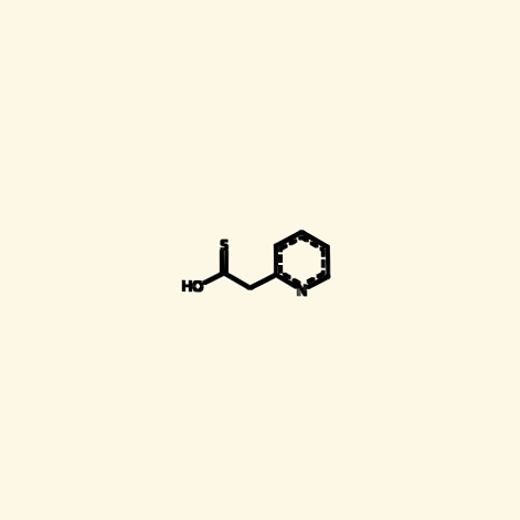 OC(=S)Cc1ccccn1